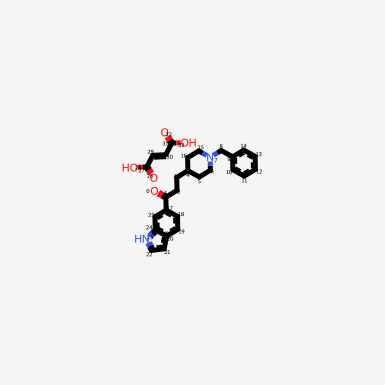 O=C(CCC1CCN(Cc2ccccc2)CC1)c1ccc2cc[nH]c2c1.O=C(O)/C=C/C(=O)O